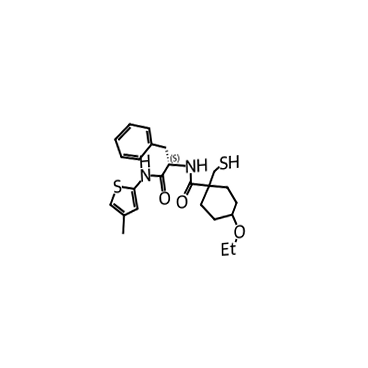 CCOC1CCC(CS)(C(=O)N[C@@H](Cc2ccccc2)C(=O)Nc2cc(C)cs2)CC1